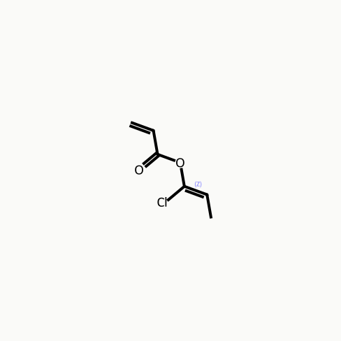 C=CC(=O)O/C(Cl)=C/C